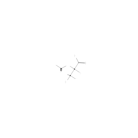 FC(F)C(F)(OC(=S)S)C(F)(F)F